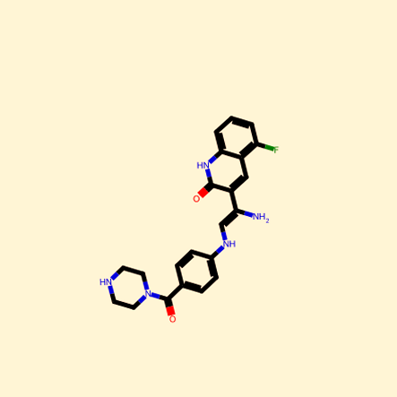 N/C(=C\Nc1ccc(C(=O)N2CCNCC2)cc1)c1cc2c(F)cccc2[nH]c1=O